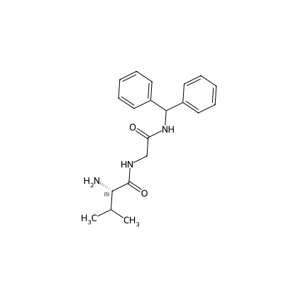 CC(C)[C@H](N)C(=O)NCC(=O)NC(c1ccccc1)c1ccccc1